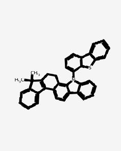 CC1(C)C2=CCCC=C2C2=C1CCc1c2ccc2c3ccccc3n(C3=CC=CC4c5ccccc5SC34)c12